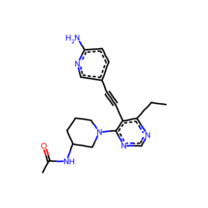 CCc1ncnc(N2CCCC(NC(C)=O)C2)c1C#Cc1ccc(N)nc1